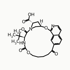 CC(C)(C)[C@@H]1NC(=O)OCCCCC(=O)c2ccc3ccnc(c3c2)O[C@@H]2C[C@@H](C(=O)O)N(C2)C1=O